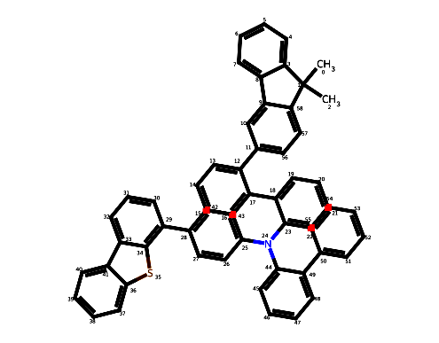 CC1(C)c2ccccc2-c2cc(-c3ccccc3-c3ccccc3N(c3ccc(-c4cccc5c4sc4ccccc45)cc3)c3ccccc3-c3ccccc3)ccc21